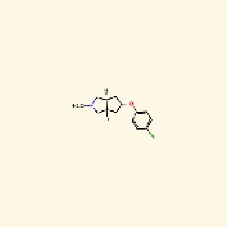 O=C(O)N1C[C@H]2CC(Oc3ccc(Br)cc3)C[C@H]2C1